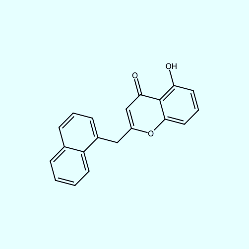 O=c1cc(Cc2cccc3ccccc23)oc2cccc(O)c12